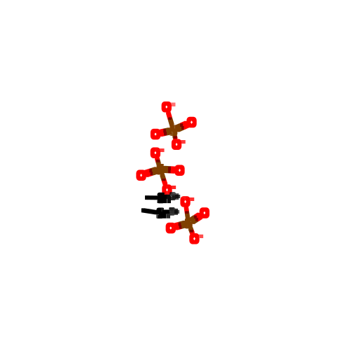 O=S(=O)([O-])[O-].O=S(=O)([O-])[O-].O=S(=O)([O-])[O-].[CH3][Sn+3].[CH3][Sn+3]